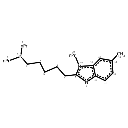 CCCN(CCC)CCCCCc1nc2ccc(C)cc2n1CCC